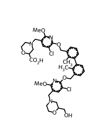 COc1nc(OCc2cccc(-c3cccc(COc4nc(OC)c(CN5CCOC(C(=O)O)C5)cc4Cl)c3C)c2C)c(Cl)cc1CN1CCOC(CO)C1